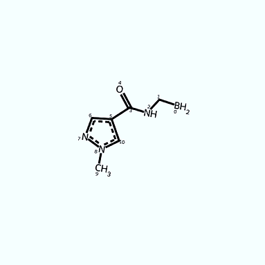 BCNC(=O)c1cnn(C)c1